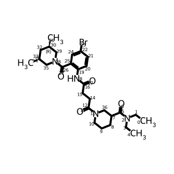 CCN(CC)C(=O)C1CCCN(C(=O)CCC(=O)Nc2ccc(Br)cc2C(=O)N2C[C@H](C)C[C@H](C)C2)C1